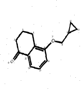 O=C1CCCc2c(OCC3CC3)cccc21